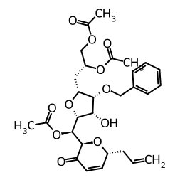 C=CC[C@@H]1C=CC(=O)[C@@H]([C@@H](OC(C)=O)[C@@H]2O[C@H](C[C@H](COC(C)=O)OC(C)=O)[C@H](OCc3ccccc3)[C@@H]2O)O1